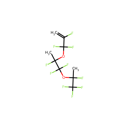 C=C(F)C(F)(F)OC(C)(F)C(F)(F)OC(C)(F)C(F)(F)F